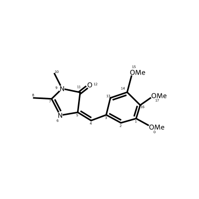 COc1cc(/C=C2/N=C(C)N(C)C2=O)cc(OC)c1OC